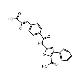 O=C(O)/C(Cl)=C/c1ccc(C(=O)Nc2cc(-c3ccccc3)c(C(=O)O)s2)cc1